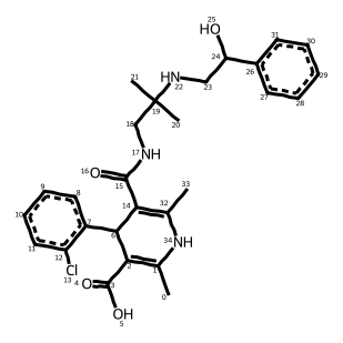 CC1=C(C(=O)O)C(c2ccccc2Cl)C(C(=O)NCC(C)(C)NCC(O)c2ccccc2)=C(C)N1